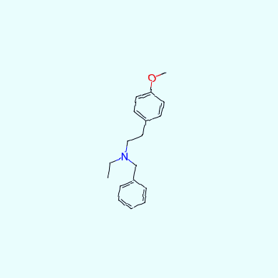 CCN(CCc1ccc(OC)cc1)Cc1ccccc1